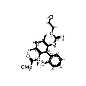 COC(=O)OC1=C(C)NC(C)=C(OC(=O)OCCCl)C1c1ccccc1C(F)(F)F